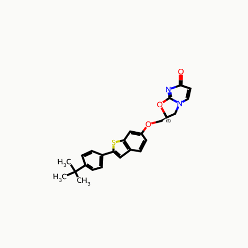 CC(C)(C)c1ccc(-c2cc3ccc(OC[C@@H]4Cn5ccc(=O)nc5O4)cc3s2)cc1